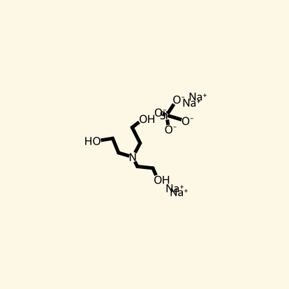 OCCN(CCO)CCO.[Na+].[Na+].[Na+].[Na+].[O-][Si]([O-])([O-])[O-]